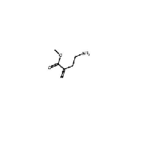 C=C(CCN)C(=O)OC